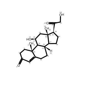 C[C@]12CCC(=O)C=C1CC[C@@H]1C2[C@@H](O)C[C@@]2(C)C1CC[C@@H]2C(=O)CO